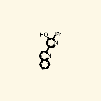 CC(C)c1ncc(-c2ccc3ccccc3n2)cc1O